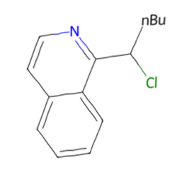 CCCCC(Cl)c1nccc2ccccc12